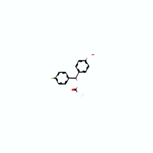 COc1ccc(C(OC(C)=O)c2ccc(F)cc2)cc1